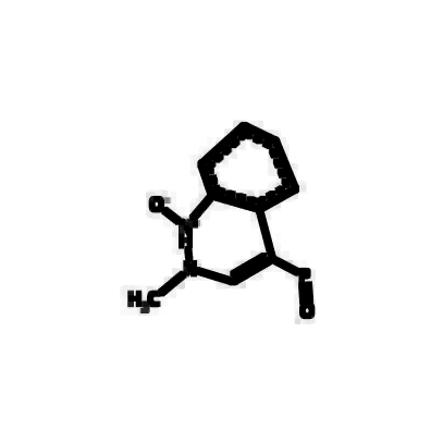 CN1C=C(P=O)c2ccccc2[NH+]1[O-]